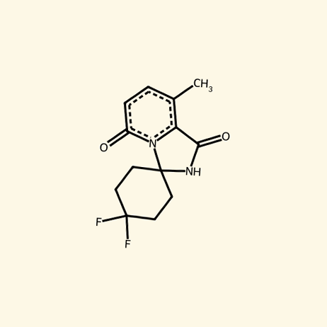 Cc1ccc(=O)n2c1C(=O)NC21CCC(F)(F)CC1